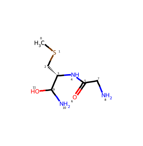 CSC[C@H](NC(=O)CN)C(N)O